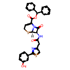 O=C(Cc1csc(-c2cccc(O)c2)n1)N[C@@H]1C(=O)N2C(C(=O)OC(c3ccccc3)c3ccccc3)=CCS[C@H]12